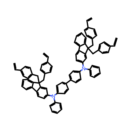 C=Cc1ccc(CC2(Cc3ccc(C=C)cc3)c3ccccc3-c3ccc(N(c4ccccc4)c4ccc(-c5ccc(N(c6ccccc6)c6ccc7c(c6)C(Cc6ccc(C=C)cc6)(Cc6ccc(C=C)cc6)c6ccccc6-7)cc5)cc4)cc32)cc1